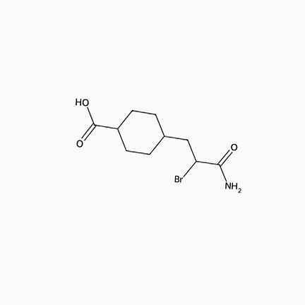 NC(=O)C(Br)CC1CCC(C(=O)O)CC1